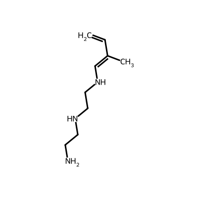 C=CC(C)=CNCCNCCN